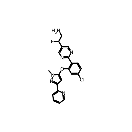 Cn1nc(-c2ccccn2)cc1Oc1cc(Cl)ccc1-c1ncc(C(F)CN)cn1